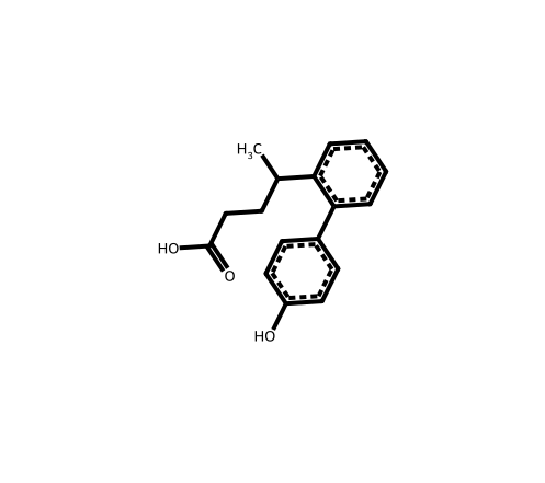 CC(CCC(=O)O)c1ccccc1-c1ccc(O)cc1